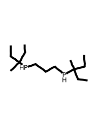 CCC(C)(CC)PCCCPC(C)(CC)CC